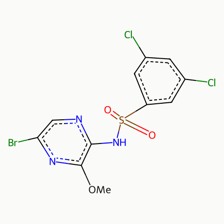 COc1nc(Br)cnc1NS(=O)(=O)c1cc(Cl)cc(Cl)c1